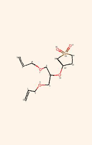 C=CCOCC(COCC=C)OC1CCS(=O)(=O)C1